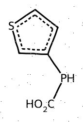 O=C(O)Pc1ccsc1